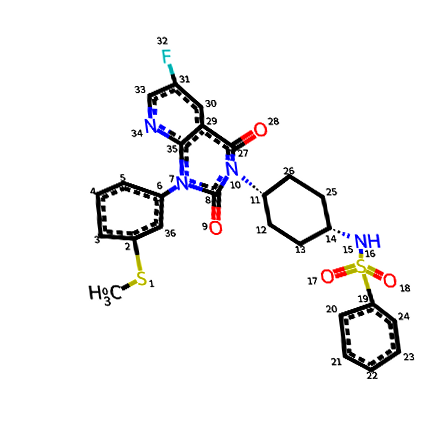 CSc1cccc(-n2c(=O)n([C@H]3CC[C@@H](NS(=O)(=O)c4ccccc4)CC3)c(=O)c3cc(F)cnc32)c1